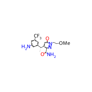 COCCn1nc(C(N)=O)c([C@H](C)c2cc(N)cc(C(F)(F)F)c2)cc1=O